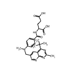 Cc1nc(C(C)(C)C)c2cc(CN(C)c3ccc(C(=O)NC(CCC(=O)O)C(=O)O)cc3)cnc2n1